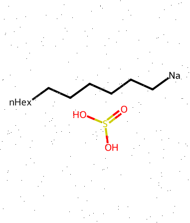 CCCCCCCCCCC[CH2][Na].O=S(O)O